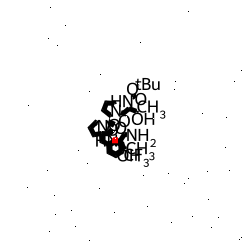 CC(O)C(NC(=O)OC(C)(C)C)C(=O)N1CCC[C@H]1C(=O)N1CCCC1(Cc1ccc(C(F)(F)F)cc1)C(=O)NC(C(N)=O)[C@@H](C)O